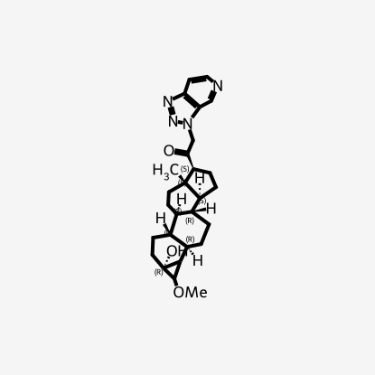 COC1C2[C@@H]3CC[C@@H]4[C@H](CC[C@]5(C)[C@@H](C(=O)Cn6nnc7ccncc76)CC[C@@H]45)[C@H]3CC[C@]12O